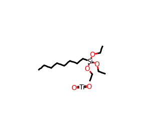 CCCCCCCC[Si](OCC)(OCC)OCC.[O]=[Ti]=[O]